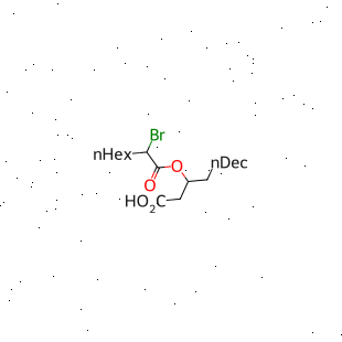 CCCCCCCCCCCC(CC(=O)O)OC(=O)C(Br)CCCCCC